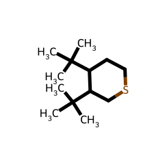 CC(C)(C)C1CCSCC1C(C)(C)C